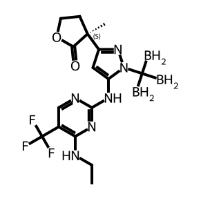 BC(B)(B)n1nc([C@]2(C)CCOC2=O)cc1Nc1ncc(C(F)(F)F)c(NCC)n1